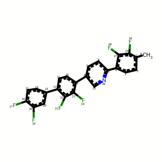 Cc1ccc(-c2ccc(-c3ccc(-c4ccc(F)c(F)c4)c(F)c3F)cn2)c(F)c1F